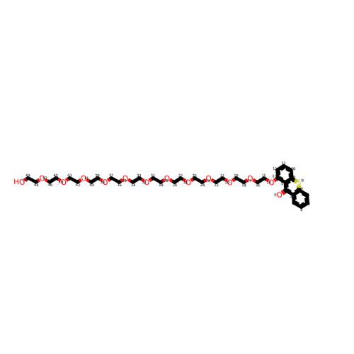 O=c1c2ccccc2sc2cccc(OCCOCCOCCOCCOCCOCCOCCOCCOCCOCCOCCOCCO)c12